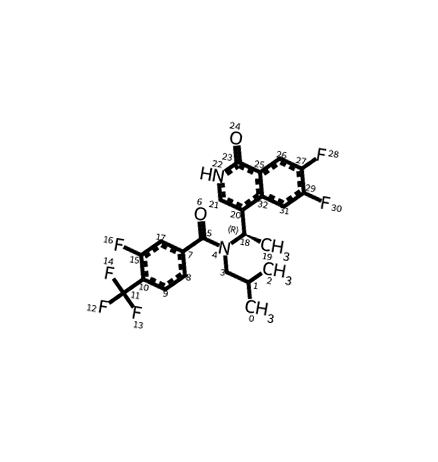 CC(C)CN(C(=O)c1ccc(C(F)(F)F)c(F)c1)[C@H](C)c1c[nH]c(=O)c2cc(F)c(F)cc12